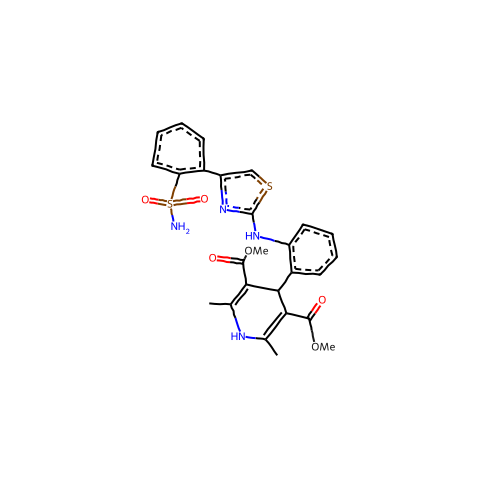 COC(=O)C1=C(C)NC(C)=C(C(=O)OC)C1c1ccccc1Nc1nc(-c2ccccc2S(N)(=O)=O)cs1